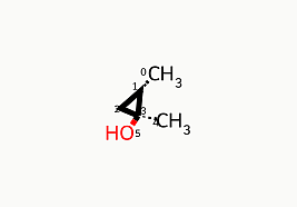 C[C@H]1C[C@]1(C)O